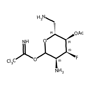 CC(=O)O[C@H]1[C@@H](F)[C@@H](N)C(OC(=N)C(Cl)(Cl)Cl)O[C@@H]1CN